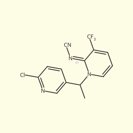 CC(c1ccc(Cl)nc1)n1cccc(C(F)(F)F)/c1=N\C#N